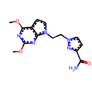 COc1nc(OC)c2ccn(CCn3c[c]c(C(N)=O)n3)c2n1